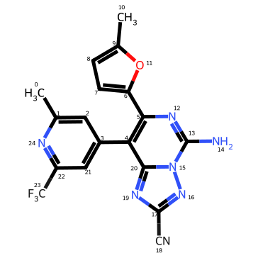 Cc1cc(-c2c(-c3ccc(C)o3)nc(N)n3nc(C#N)nc23)cc(C(F)(F)F)n1